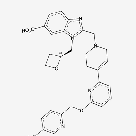 COc1ccc(COc2cccc(C3=CCN(Cc4nc5ccc(C(=O)O)cc5n4C[C@@H]4CCO4)CC3)n2)nc1